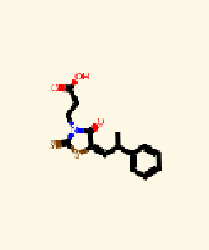 CC(C=C1SC(=S)N(CCC(=O)O)C1=O)c1ccccc1